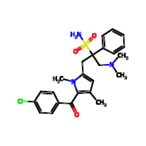 Cc1cc(CC(CN(C)C)(c2ccccc2)S(N)(=O)=O)n(C)c1C(=O)c1ccc(Cl)cc1